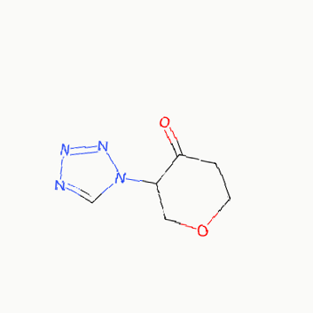 O=C1CCOCC1n1cnnn1